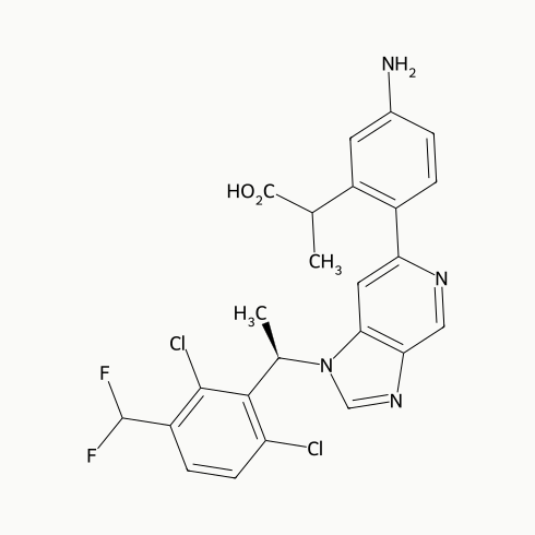 CC(C(=O)O)c1cc(N)ccc1-c1cc2c(cn1)ncn2[C@H](C)c1c(Cl)ccc(C(F)F)c1Cl